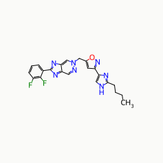 CCCCc1nc(-c2cc(Cn3cc4nc(-c5cccc(F)c5F)nc-4cn3)on2)c[nH]1